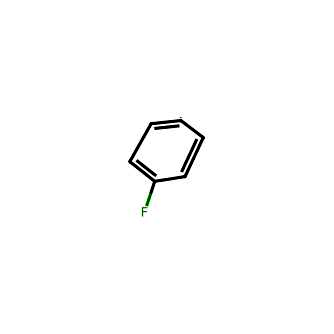 Fc1cc[c]cc1